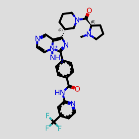 CN1CCC[C@@H]1C(=O)N1CCC[C@@H](C2=C3C=NC=C[N+]3(N)C(c3ccc(C(=O)Nc4cc(C(F)(F)F)ccn4)cc3)=N2)C1